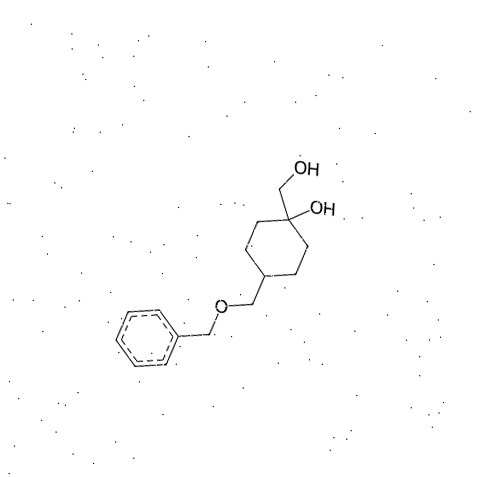 OCC1(O)CCC(COCc2ccccc2)CC1